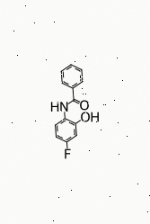 O=C(Nc1ccc(F)cc1O)c1ccccc1